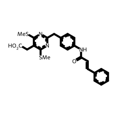 CSc1nc(Cc2ccc(NC(=O)/C=C/c3ccccc3)cc2)nc(SC)c1CC(=O)O